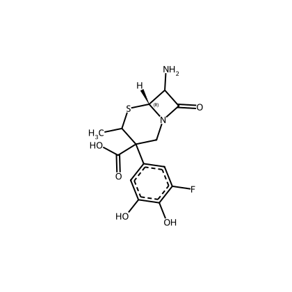 CC1S[C@@H]2C(N)C(=O)N2CC1(C(=O)O)c1cc(O)c(O)c(F)c1